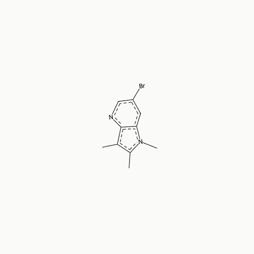 Cc1c(C)n(C)c2cc(Br)cnc12